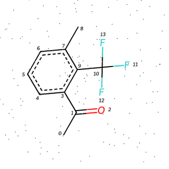 CC(=O)c1cccc(C)c1C(F)(F)F